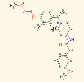 COCCOc1ccc(C(C)N2CCC(NC(=O)Cc3cccc(OC)c3)CC2)c(C)c1C